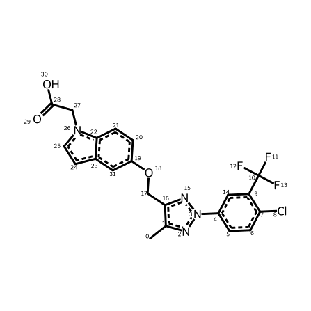 Cc1nn(-c2ccc(Cl)c(C(F)(F)F)c2)nc1COc1ccc2c(ccn2CC(=O)O)c1